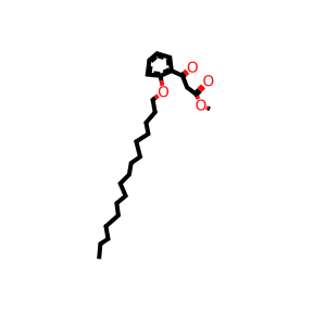 CCCCCCCCCCCCCCCCOc1ccccc1C(=O)CC(=O)OC